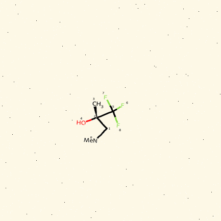 CNC[C@](C)(O)C(F)(F)F